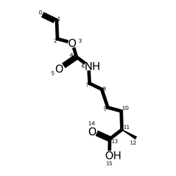 C=CCOC(=O)NCCCC[C@@H](C)C(=O)O